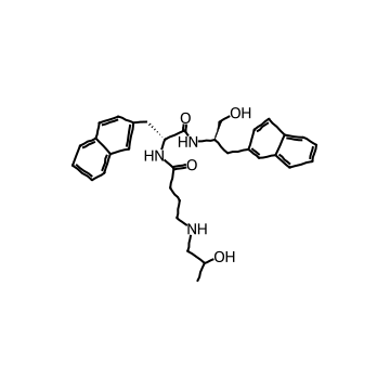 CC(O)CNCCCC(=O)N[C@H](Cc1ccc2ccccc2c1)C(=O)N[C@@H](CO)Cc1ccc2ccccc2c1